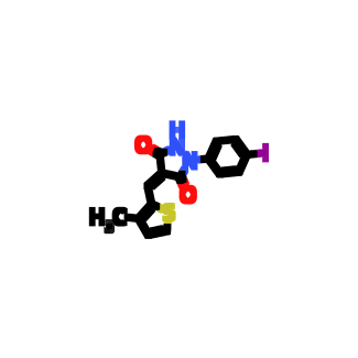 Cc1ccsc1/C=C1/C(=O)NN(c2ccc(I)cc2)C1=O